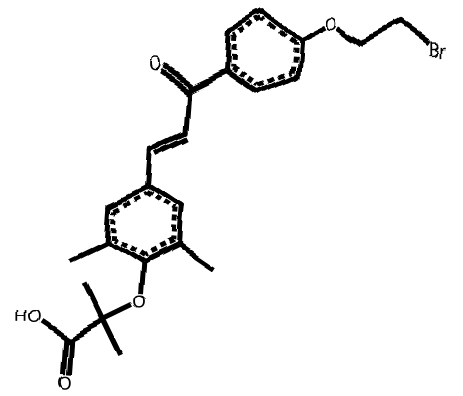 Cc1cc(/C=C/C(=O)c2ccc(OCCBr)cc2)cc(C)c1OC(C)(C)C(=O)O